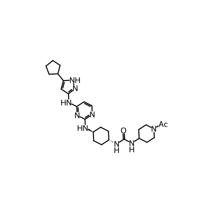 CC(=O)N1CCC(NC(=O)N[C@H]2CC[C@H](Nc3nccc(Nc4cc(C5CCCC5)[nH]n4)n3)CC2)CC1